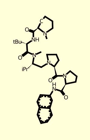 CC(C)[C@@H](CN1CCC[C@H]1C(=O)N1CCC[C@H]1C(=O)Nc1ccc2ccccc2c1)N(C)C(=O)[C@@H](NC(=O)[C@H]1CCCCN1C)C(C)(C)C